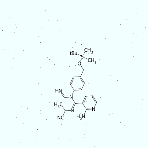 CC(C#N)/N=C(/c1cccnc1N)N(C=N)c1ccc(CO[Si](C)(C)C(C)(C)C)cc1